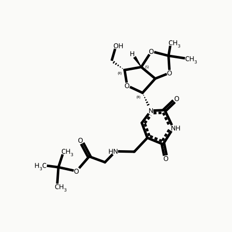 CC(C)(C)OC(=O)CNCc1cn([C@@H]2O[C@H](CO)[C@@H]3OC(C)(C)OC32)c(=O)[nH]c1=O